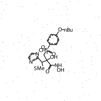 CCCCOc1ccc(S(=O)(=O)CC(O)(C(=O)NO)C(SC)c2nccn2C)cc1